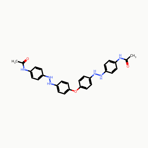 CC(=O)Nc1ccc(NNc2ccc(Oc3ccc(NNc4ccc(NC(C)=O)cc4)cc3)cc2)cc1